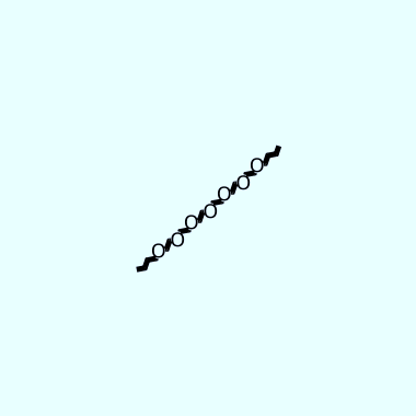 CCCCOCCOCCOCCOCCOCCOCCOCCCC